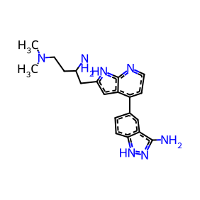 CN(C)CCC(N)Cc1cc2c(-c3ccc4[nH]nc(N)c4c3)ccnc2[nH]1